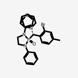 Cc1ccc([C@@H](N2CCOCC2)P2(=O)N(c3ccccc3)CCN2c2ccccc2)c(Br)c1